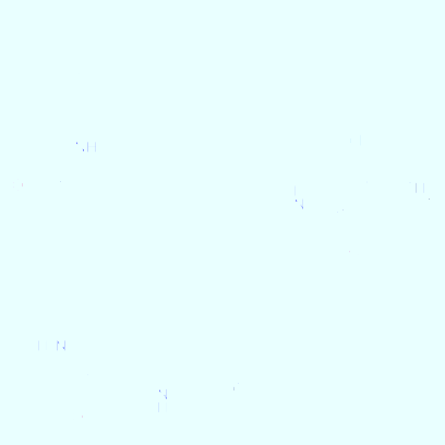 C=C(Cl)C(=O)Nc1ccc(-c2c(C)[nH]c(C(N)=O)c2-c2ccc(C(=O)NCC3CCC3)cc2)cc1